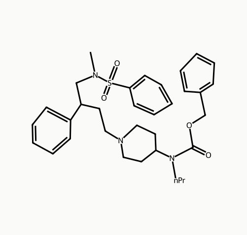 CCCN(C(=O)OCc1ccccc1)C1CCN(CCC(CN(C)S(=O)(=O)c2ccccc2)c2ccccc2)CC1